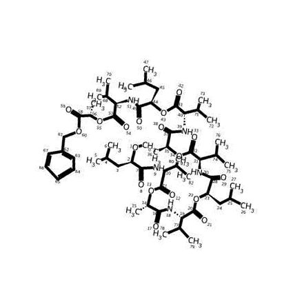 CO[C@H](CC(C)C)C(=O)N[C@@H](C(=O)O[C@@H](C)C(=O)N[C@H](C(=O)O[C@H](CC(C)C)C(=O)N[C@@H](C(=O)O[C@@H](C)C(=O)N[C@H](C(=O)O[C@H](CC(C)C)C(=O)N[C@@H](C(=O)O[C@@H](C)C(=O)OCc1ccccc1)C(C)C)C(C)C)C(C)C)C(C)C)C(C)C